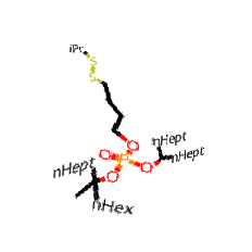 CCCCCCCC(CCCCCCC)OP(=O)(OCCCCSSC(C)C)OC(C)(CCCCCC)CCCCCCC